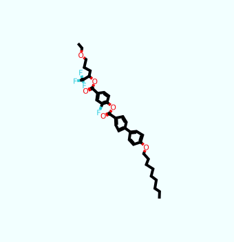 CCCCCCCCCOc1ccc(-c2ccc(C(=O)Oc3ccc(C(=O)OC(CCCOCC)C(F)(F)F)cc3F)cc2)cc1